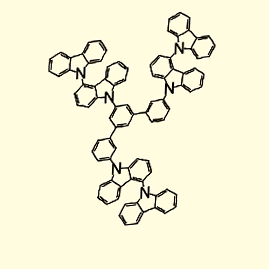 c1cc(-c2cc(-c3cccc(-n4c5ccccc5c5c(-n6c7ccccc7c7ccccc76)cccc54)c3)cc(-n3c4ccccc4c4c(-n5c6ccccc6c6ccccc65)cccc43)c2)cc(-n2c3ccccc3c3c(-n4c5ccccc5c5ccccc54)cccc32)c1